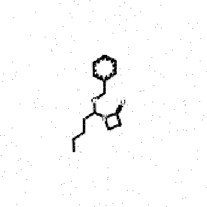 CCCCC(OCc1ccccc1)N1CCC1=O